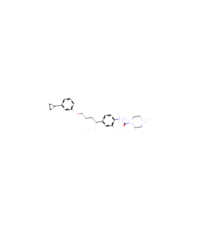 Cl.O=C(Nc1ccc(CCCCOc2cccc(C3CC3)c2)cc1F)N1CCNCC1